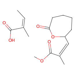 CC=C(C)C(=O)O.COC(=O)C(C)=CC1CCCCC(=O)O1